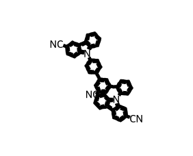 N#Cc1cc(-c2ccc(-n3c4ccccc4c4cc(C#N)ccc43)cc2)cc(-c2ccccc2-n2c3ccccc3c3ccc(C#N)cc32)c1